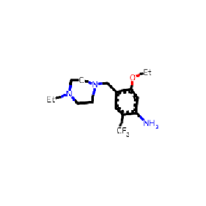 CCOc1cc(N)c(C(F)(F)F)cc1CN1CCN(CC)CC1